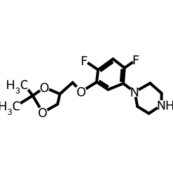 CC1(C)OCC(COc2cc(N3CCNCC3)c(F)cc2F)O1